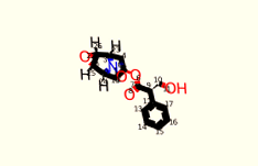 C[N+]1([O-])[C@@H]2C[C@@H](OC(=O)[C@H](CO)c3ccccc3)C[C@H]1[C@@H]1O[C@@H]12